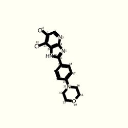 Clc1cnc2nc(-c3ccc(N4CCOCC4)cc3)[nH]c2c1Cl